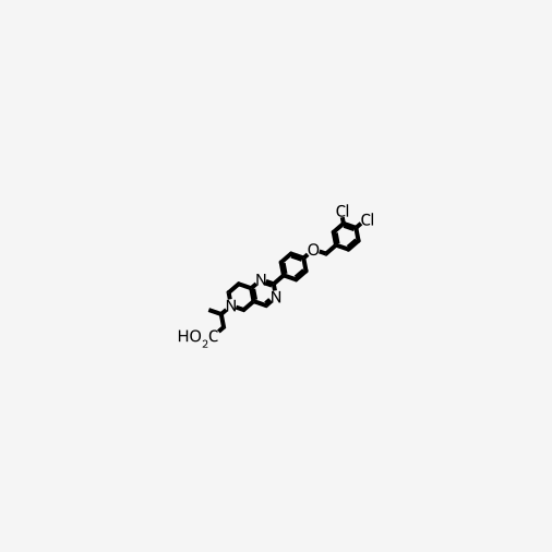 CC(CC(=O)O)N1CCc2nc(-c3ccc(OCc4ccc(Cl)c(Cl)c4)cc3)ncc2C1